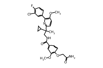 COc1cc(C(=O)NCC(C)(c2ccc(OC)c(-c3ccc(F)c(Cl)c3)n2)C2CC2)ccc1OCC(N)=O